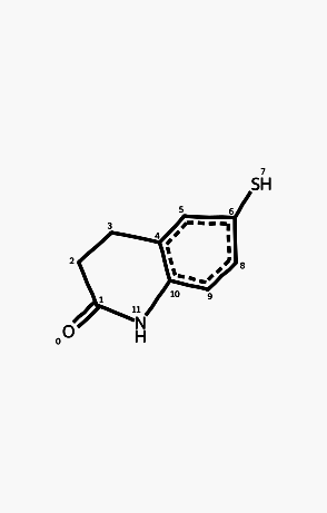 O=C1CCc2cc(S)ccc2N1